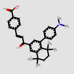 CN(C)c1ccc(-c2cc(C(=O)/C=C/c3ccc(C(=O)O)cc3)cc3c2C(C)(C)CCC3(C)C)cc1